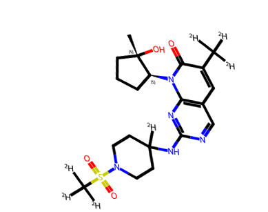 [2H]C1(Nc2ncc3cc(C([2H])([2H])[2H])c(=O)n([C@H]4CCC[C@]4(C)O)c3n2)CCN(S(=O)(=O)C([2H])([2H])[2H])CC1